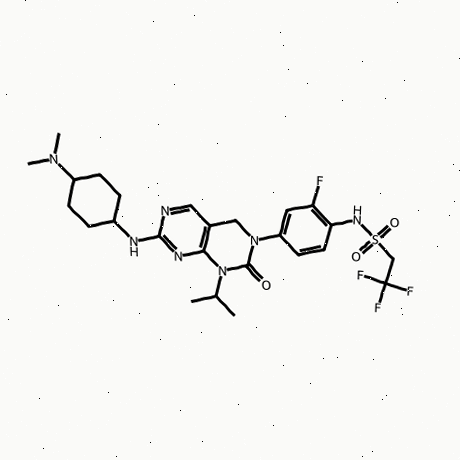 CC(C)N1C(=O)N(c2ccc(NS(=O)(=O)CC(F)(F)F)c(F)c2)Cc2cnc(NC3CCC(N(C)C)CC3)nc21